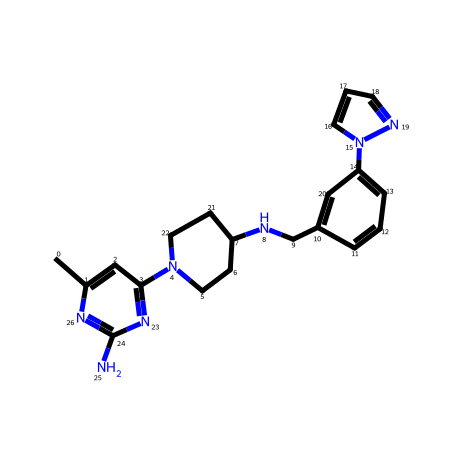 Cc1cc(N2CCC(NCc3cccc(-n4cccn4)c3)CC2)nc(N)n1